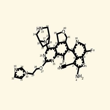 N#Cc1c(N)sc2c(F)cnc(-c3c4c(c5c(N6C7CCC6CNC7)nc(OCCn6ccnc6)nc5c3F)COC4)c12